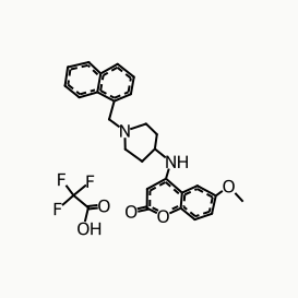 COc1ccc2oc(=O)cc(NC3CCN(Cc4cccc5ccccc45)CC3)c2c1.O=C(O)C(F)(F)F